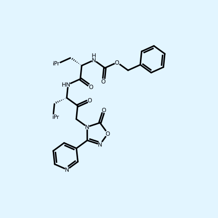 CC(C)C[C@H](NC(=O)[C@H](CC(C)C)NC(=O)OCc1ccccc1)C(=O)Cn1c(-c2cccnc2)noc1=O